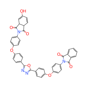 O=C1c2ccccc2C(=O)N1c1ccc(Oc2ccc(-c3nnc(-c4ccc(Oc5ccc(N6C(=O)C7C=CC(O)=CC7C6=O)cc5)cc4)o3)cc2)cc1